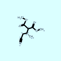 COC(=O)C(C(=O)OC)[C@H](C)CC#N